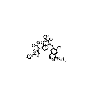 COC(=O)[C@@H](Cc1cc2ccnc(N)c2cc1Cl)N1CC[C@H](N(c2cnc(N3CCC3)s2)[SH](=O)=O)C1=O